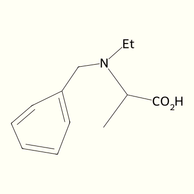 CCN(Cc1ccccc1)C(C)C(=O)O